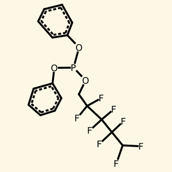 FC(F)C(F)(F)C(F)(F)C(F)(F)COP(Oc1ccccc1)Oc1ccccc1